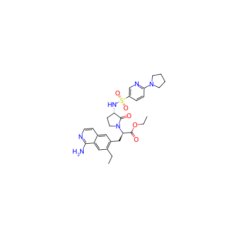 CCOC(=O)[C@@H](Cc1cc2ccnc(N)c2cc1CC)N1CC[C@H](NS(=O)(=O)c2ccc(N3CCCC3)nc2)C1=O